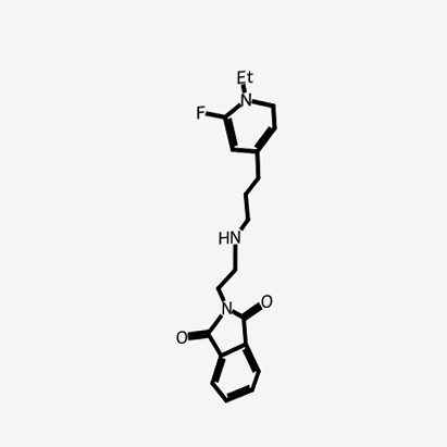 CCN1CC=C(CCCNCCN2C(=O)c3ccccc3C2=O)C=C1F